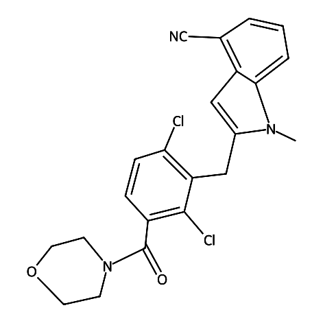 Cn1c(Cc2c(Cl)ccc(C(=O)N3CCOCC3)c2Cl)cc2c(C#N)cccc21